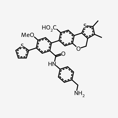 COc1cc(-c2cc3c(cc2C(=O)O)-c2sc(C)c(C)c2CO3)c(C(=O)Nc2ccc(CN)cc2)cc1-c1cccs1